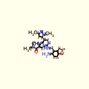 Cc1cc(-c2cnc(NCc3c(N)ccc4c3CCO4)n3cc(C(=O)N(C)C)nc23)n(C)n1